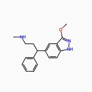 CNCCC(c1ccccc1)c1ccc2[nH]nc(OC)c2c1